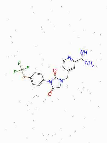 N=C(N)c1cc(CN2CC(=O)N(c3ccc(SC(F)(F)F)cc3)C2=O)ccn1